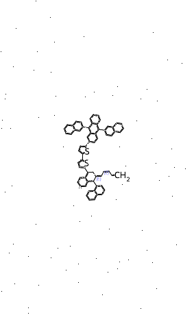 C=C/C=C\C=C1/CC(c2ccc(-c3ccc(-c4ccc5c(-c6ccc7ccccc7c6)c6ccccc6c(-c6ccc7ccccc7c6)c5c4)s3)s2)=c2ccccc2=C1c1cccc2ccccc12